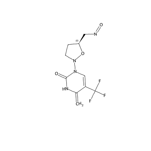 C=C1NC(=O)N(N2CC[C@@H](CN=O)O2)C=C1C(F)(F)F